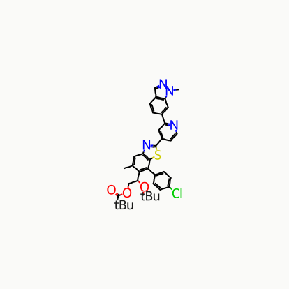 Cc1cc2nc(-c3ccnc(-c4ccc5cnn(C)c5c4)c3)sc2c(-c2ccc(Cl)cc2)c1C(COC(=O)C(C)(C)C)OC(C)(C)C